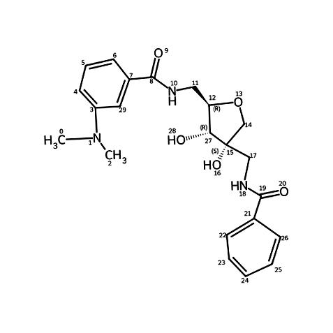 CN(C)c1cccc(C(=O)NC[C@H]2OC[C@@](O)(CNC(=O)c3ccccc3)[C@@H]2O)c1